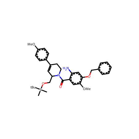 COc1ccc(C2=CC(CO[Si](C)(C)C(C)(C)C)N(C(=O)c3cc(OC)c(OCc4ccccc4)cc3N)CC2)cc1